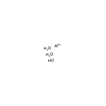 Cl.O.O.[Al+3]